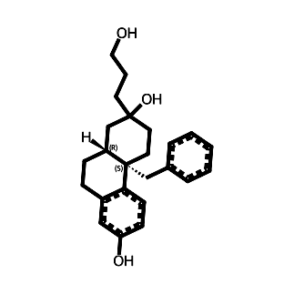 OCCCC1(O)CC[C@@]2(Cc3ccccc3)c3ccc(O)cc3CC[C@@H]2C1